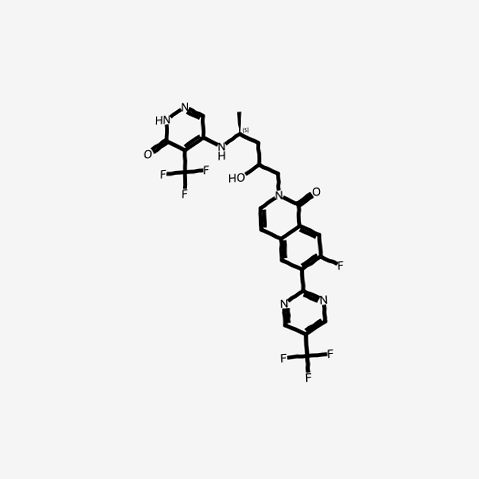 C[C@@H](CC(O)Cn1ccc2cc(-c3ncc(C(F)(F)F)cn3)c(F)cc2c1=O)Nc1cn[nH]c(=O)c1C(F)(F)F